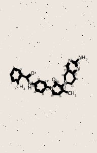 Cc1ccccc1C(=O)Nc1ccc(-n2ccc(C)c(N3CCc4nc(N)ncc4C3)c2=O)cc1